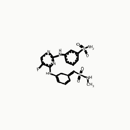 CNS(=O)(=O)C=C1C=CC=C(Nc2nc(Nc3cccc(S(N)(=O)=O)c3)ncc2F)C1